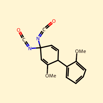 COC1=CC(N=C=O)(N=C=O)C=CC1c1ccccc1OC